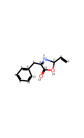 C=CC1N=C(Cc2ccccc2)C(=O)O1